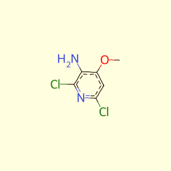 COc1cc(Cl)nc(Cl)c1N